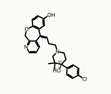 CC1(C)CN(CCC=C2c3cc(O)ccc3OCc3ncccc32)CC[C@]1(O)c1ccc(Cl)cc1